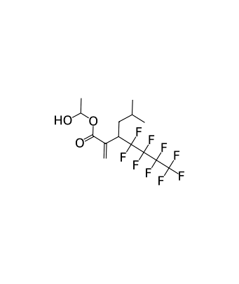 C=C(C(=O)OC(C)O)C(CC(C)C)C(F)(F)C(F)(F)C(F)(F)C(F)(F)F